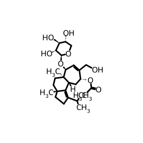 CC(=O)O[C@@H]1C[C@@H]2C3=C(C(C)C)CC[C@]3(C)CC[C@@]2(C)[C@@H](O[C@@H]2OC[C@@H](O)[C@H](O)[C@H]2O)C=C1CO